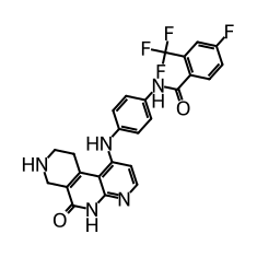 O=C(Nc1ccc(Nc2ccnc3[nH]c(=O)c4c(c23)CCNC4)cc1)c1ccc(F)cc1C(F)(F)F